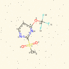 CS(=O)(=O)c1nccc(OC(F)(F)F)n1